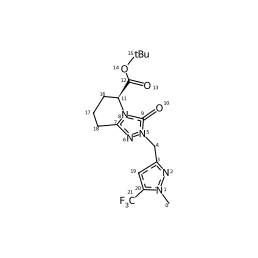 Cn1nc(Cn2nc3n(c2=O)[C@H](C(=O)OC(C)(C)C)CCC3)cc1C(F)(F)F